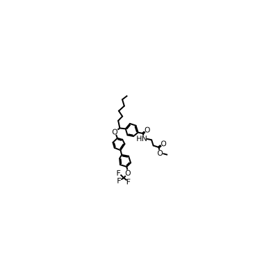 CCCCCCC(Oc1ccc(-c2ccc(OC(F)(F)F)cc2)cc1)c1ccc(C(=O)NCCC(=O)OC)cc1